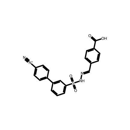 N#[N+]c1ccc(-c2cccc(S(=O)(=O)N/N=C/c3ccc(C(=O)O)cc3)c2)cc1